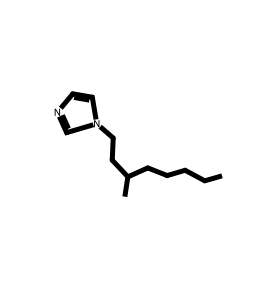 CCCCCC(C)CCn1ccnc1